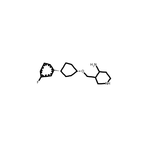 NC1CCNCC1CO[C@H]1CC[C@@H](c2cccc(F)c2)CC1